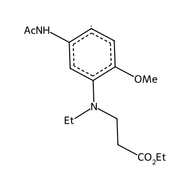 CCOC(=O)CCN(CC)c1cc(NC(C)=O)[c]cc1OC